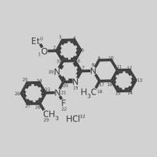 CCOc1cccc2c(N3CCc4ccccc4C3C)nc(N(F)c3ccccc3C)nc12.Cl